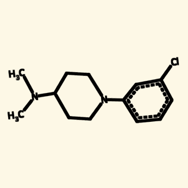 CN(C)C1CCN(c2cccc(Cl)c2)CC1